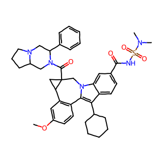 COc1ccc2c(c1)C1CC1(C(=O)N1CC3CCCN3CC1c1ccccc1)Cn1c-2c(C2CCCCC2)c2ccc(C(=O)NS(=O)(=O)N(C)C)cc21